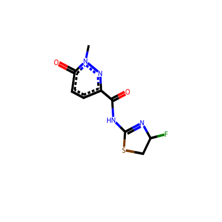 Cn1nc(C(=O)NC2=NC(F)CS2)ccc1=O